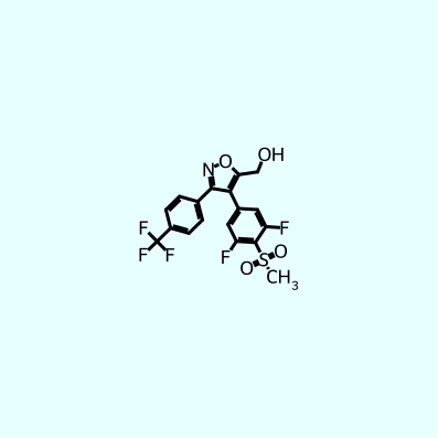 CS(=O)(=O)c1c(F)cc(-c2c(-c3ccc(C(F)(F)F)cc3)noc2CO)cc1F